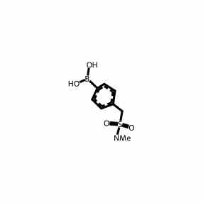 CNS(=O)(=O)Cc1ccc(B(O)O)cc1